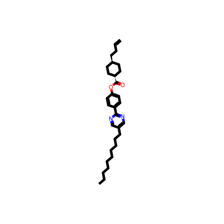 C=CCC[C@H]1CC[C@H](C(=O)Oc2ccc(-c3ncc(CCCCCCCCCC)cn3)cc2)CC1